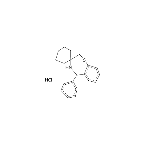 Cl.c1ccc(C2NC3(CCCCC3)CSc3ccccc32)cc1